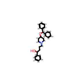 OC(CCCN1CCC(OC(c2ccccc2)c2ccccc2)CC1)c1ccccc1